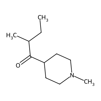 CCC(C)C(=O)C1CCN(C)CC1